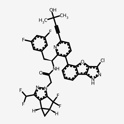 CC(C)(O)C#Cc1ccc(-c2cccc3c2oc2c(Cl)n[nH]c23)c([C@H](Cc2cc(F)cc(F)c2)NC(=O)Cn2nc(C(F)F)c3c2C(F)(F)[C@@H]2C[C@H]32)n1